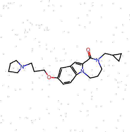 O=C1c2cc3cc(OCCCN4CCCC4)ccc3n2CCCN1CC1CC1